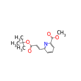 COC(=O)c1cccc(C=CC(=O)OC(C)(C)C)n1